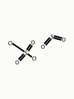 O=S(=O)(Cl)Cl.O=S=O